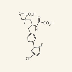 C[C@](CO)(C[C@H](Cc1ccc(-c2cc(Cl)ccc2F)cc1)NC(=O)C(=O)O)C(=O)O